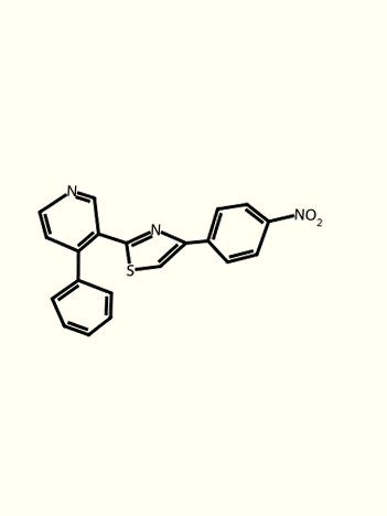 O=[N+]([O-])c1ccc(-c2csc(-c3cnccc3-c3ccccc3)n2)cc1